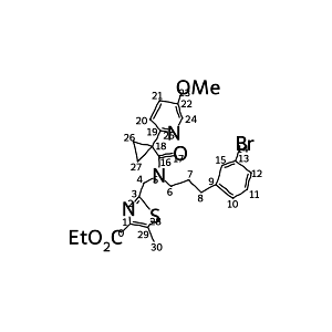 CCOC(=O)c1nc(CN(CCCc2cccc(Br)c2)C(=O)C2(c3ccc(OC)cn3)CC2)sc1C